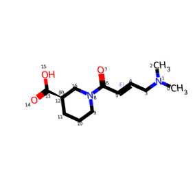 CN(C)C/C=C/C(=O)N1CCC[C@@H](C(=O)O)C1